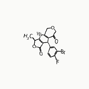 CC1OC(=O)C2=C1NC1=C(C(=O)COC1)C2c1ccc(F)c(Br)c1